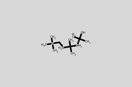 CC(C)(O)[SiH2]C(C)(C)[SiH2]C[Si](C)(C)C